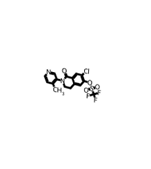 Cc1ccncc1N1CCc2cc(OS(=O)(=O)C(F)(F)F)c(Cl)cc2C1=O